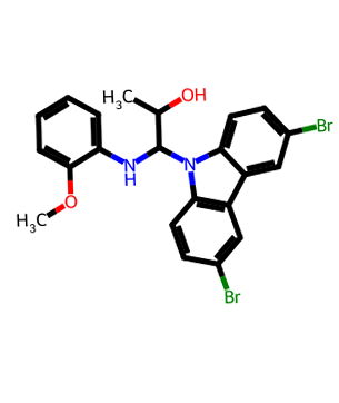 COc1ccccc1NC(C(C)O)n1c2ccc(Br)cc2c2cc(Br)ccc21